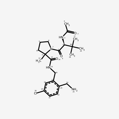 CC(=O)N[C@H](C(=O)N1CCCC1(C)C(=O)NCc1cc(Cl)ccc1CN)C(C)(C)C